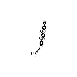 CCCCCOc1ccc(C(=O)Oc2ccc(C(=O)Oc3ccc(C#N)cc3)cc2)cc1